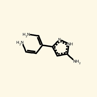 N/C=C\C(=C/N)c1cc(N)[nH]n1